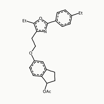 CCc1ccc(-c2nc(CCOc3ccc4c(c3)CCC4OC(C)=O)c(CC)o2)cc1